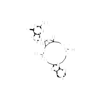 Nc1nc2c(nnn2[C@@H]2O[C@@H]3COP(=O)(S)OCCn4c(nc5cncnc54)COP(=O)(S)O[C@@H]2[C@@H]3O)c(=O)[nH]1